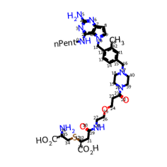 CCCCCNc1nc(N)nc2ccn(Cc3ccc(CN4CCN(C(=O)CCOCCNC(=O)C[C@H](SC[C@H](N)C(=O)O)C(=O)O)CC4)cc3C)c12